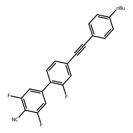 CCCCc1ccc(C#Cc2ccc(-c3cc(F)c(C#N)c(F)c3)c(F)c2)cc1